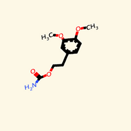 COc1ccc(CCOC(N)=O)cc1OC